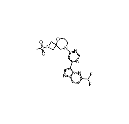 CS(=O)(=O)N1CC2(CN(c3cc(-c4cnc5ccc(C(F)F)nn45)ncn3)CCO2)C1